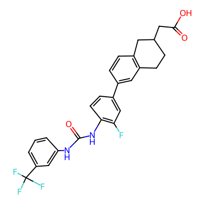 O=C(O)CC1CCc2cc(-c3ccc(NC(=O)Nc4cccc(C(F)(F)F)c4)c(F)c3)ccc2C1